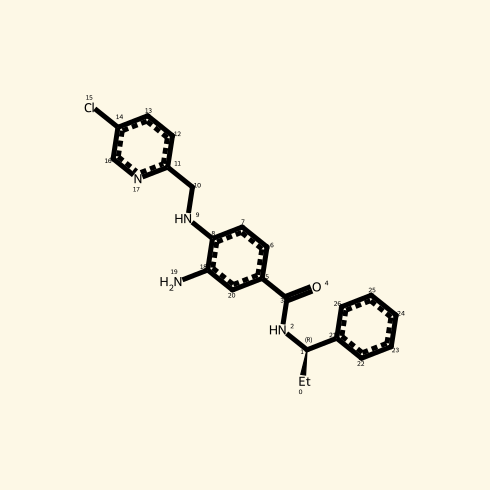 CC[C@@H](NC(=O)c1ccc(NCc2ccc(Cl)cn2)c(N)c1)c1ccccc1